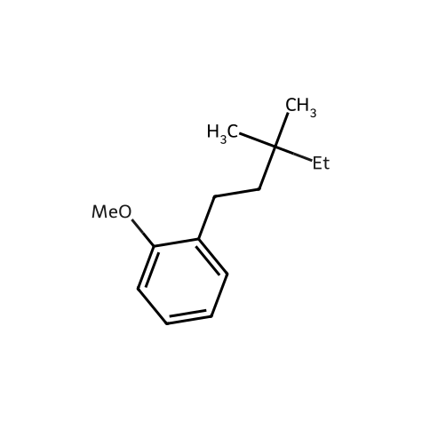 CCC(C)(C)CCc1ccccc1OC